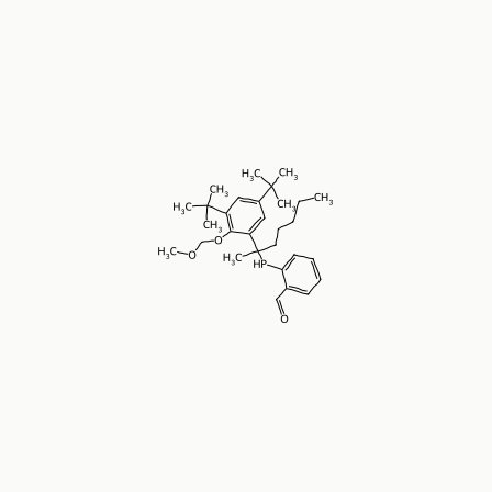 CCCCCC(C)(Pc1ccccc1C=O)c1cc(C(C)(C)C)cc(C(C)(C)C)c1OCOC